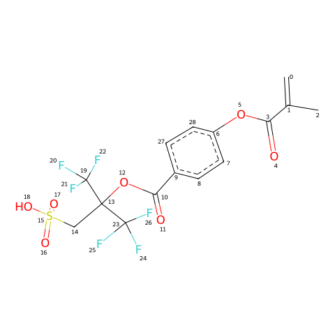 C=C(C)C(=O)Oc1ccc(C(=O)OC(CS(=O)(=O)O)(C(F)(F)F)C(F)(F)F)cc1